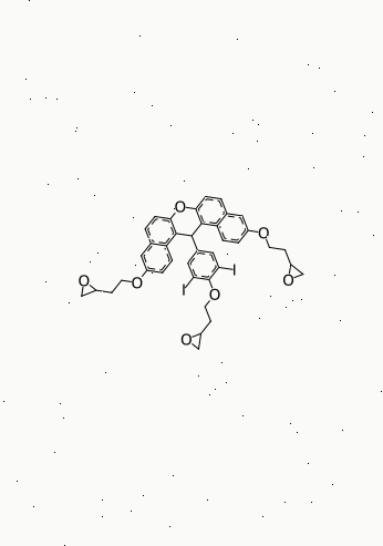 Ic1cc(C2c3c(ccc4cc(OCCC5CO5)ccc34)Oc3ccc4cc(OCCC5CO5)ccc4c32)cc(I)c1OCCC1CO1